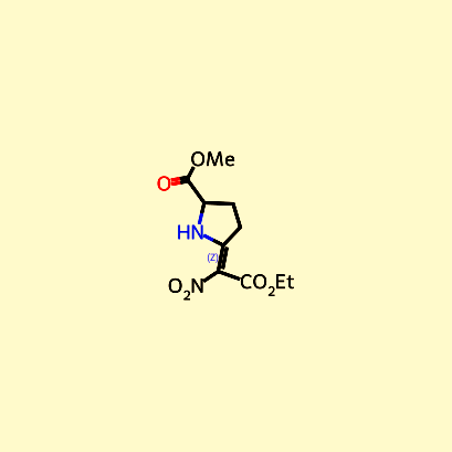 CCOC(=O)/C(=C1\CCC(C(=O)OC)N1)[N+](=O)[O-]